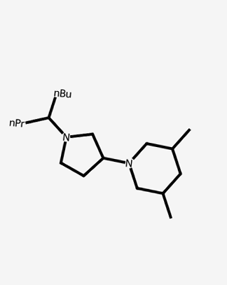 CCCCC(CCC)N1CCC(N2CC(C)CC(C)C2)C1